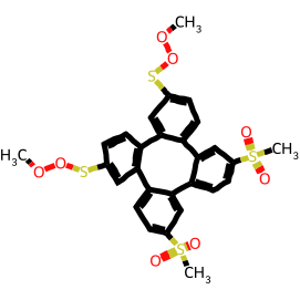 COOSc1ccc2c(c1)-c1ccc(S(C)(=O)=O)cc1-c1ccc(S(C)(=O)=O)cc1-c1ccc(SOOC)cc1-2